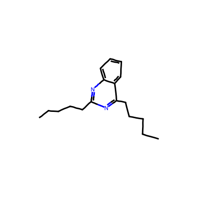 CCCCCc1nc(CCCCC)c2ccccc2n1